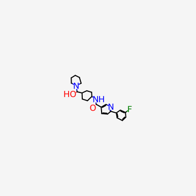 O=C(NC1CCC(C(O)N2CCCCC2)CC1)c1ccc(-c2cccc(F)c2)nc1